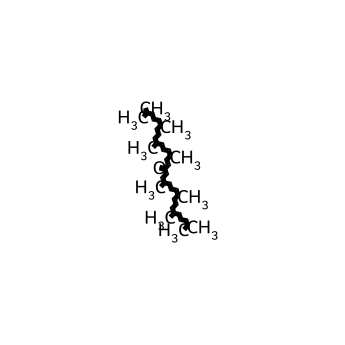 CC(C)CCCC(C)CCCC(C)CCCC(C)CCC(=O)CCC(C)CCCC(C)CCCC(C)CCCC(C)C